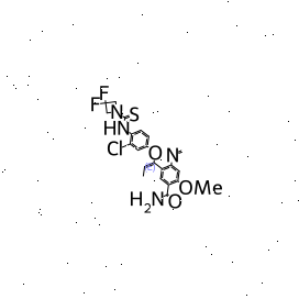 C=Nc1cc(OC)c(C(N)=O)cc1/C(=C\C)Oc1ccc(NC(=S)N2CC(F)(F)C2)c(Cl)c1